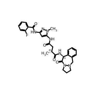 C[C@H](CC(=O)Nc1cc(NC(=O)c2ccccc2F)nn1C)C(=O)N[C@@H]1C(=O)N2CCCN2Cc2ccccc21